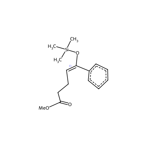 COC(=O)CC/C=C(/O[Si](C)(C)C)c1ccccc1